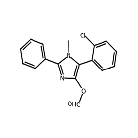 Cn1c(-c2ccccc2)nc(OC=O)c1-c1ccccc1Cl